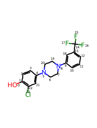 Oc1ccc(N2CCN(c3cccc(C(F)(F)F)c3)CC2)cc1Cl